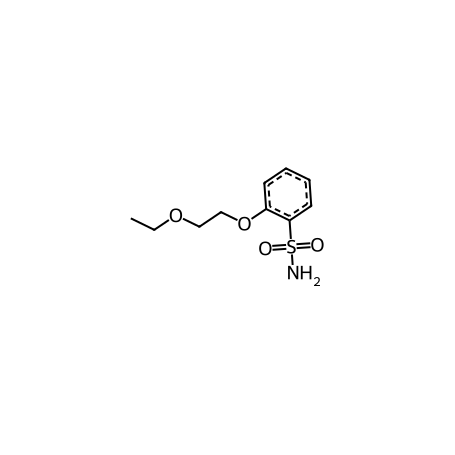 CCOCCOc1ccccc1S(N)(=O)=O